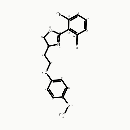 CCCSc1ccc(OCCC2COC(c3c(F)cccc3F)=N2)cc1